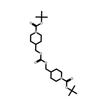 CC(C)(C)OC(=O)N1CCC(COC(=O)OCC2CCN(C(=O)OC(C)(C)C)CC2)CC1